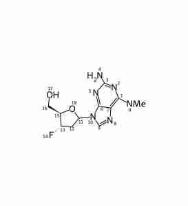 CNc1nc(N)nc2c1ncn2C1C[C@H](F)[C@@H](CO)O1